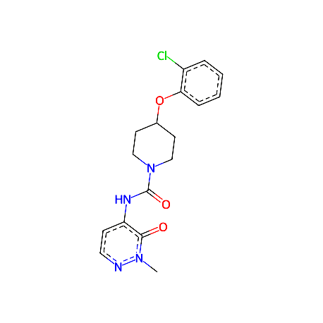 Cn1nccc(NC(=O)N2CCC(Oc3ccccc3Cl)CC2)c1=O